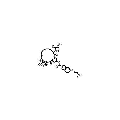 CN(C)CCOc1ccc2c(c1)CN(C(=O)O[C@@H]1C[C@H]3C(=O)N[C@]4(C(=O)O)C[C@H]4/C=C/CCCCC[C@H](NC(=O)OC(C)(C)C)C(=O)N3C1)C2